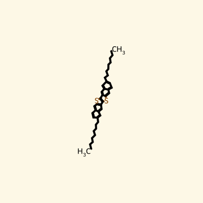 CCCCCCCCCCc1ccc2cc3sc4c5cc6cc(CCCCCCCCCC)ccc6cc5sc4c3cc2c1